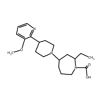 CCC1CC(N2CCC(c3ncccc3OC)CC2)CCCN1C(=O)O